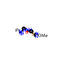 COc1ncc(Sc2cccc(C(=O)Nc3cccc(-c4nncn4C(C)C)n3)c2)cn1